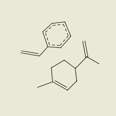 C=C(C)C1CC=C(C)CC1.C=Cc1ccccc1